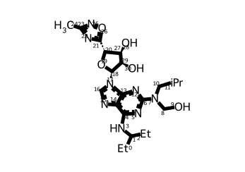 CCC(CC)Nc1nc(N(CO)CC(C)C)nc2c1ncn2[C@@H]1O[C@H](c2nc(C)no2)[C@@H](O)[C@H]1O